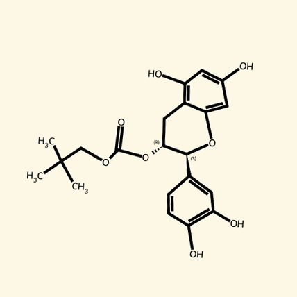 CC(C)(C)COC(=O)O[C@@H]1Cc2c(O)cc(O)cc2O[C@H]1c1ccc(O)c(O)c1